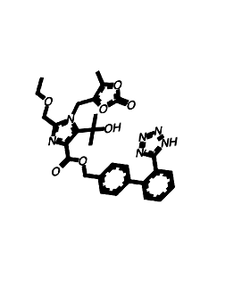 CCOCc1nc(C(=O)OCc2ccc(-c3ccccc3-c3nnn[nH]3)cc2)c(C(C)(C)O)n1Cc1oc(=O)oc1C